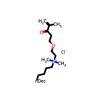 C=C(C)C(=O)CCOCC[N+](C)(C)CCCCCCCCCCCCCC.[Cl-]